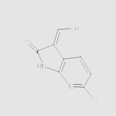 C/C=C1/C(=O)Nc2nc(Cl)ccc21